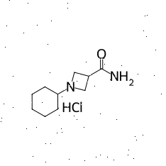 Cl.NC(=O)C1CN(C2CCCCC2)C1